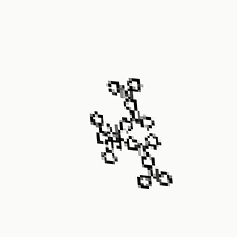 c1ccc(-c2ccc(-c3ccccc3)c3nc(-c4ccc(N(c5ccccc5)c5ccc(N(c6ccccc6)c6ccccc6)cc5)cc4)c(-c4ccc(N(c5ccccc5)c5ccc(N(c6ccccc6)c6ccccc6)cc5)cc4)nc23)cc1